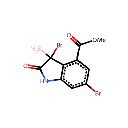 BC1(Br)C(=O)Nc2cc(Br)cc(C(=O)OC)c21